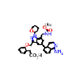 CC(C)(C)OC(=O)NCc1cc(-c2cccc3c(N)nccc23)cc2c(COc3ccccc3CC(=O)O)nn(C3CCCCO3)c12